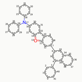 c1ccc(-c2cc(-c3ccc4c(c3)oc3cc(N(c5ccccc5)c5ccccc5)ccc34)cc3ccccc23)cc1